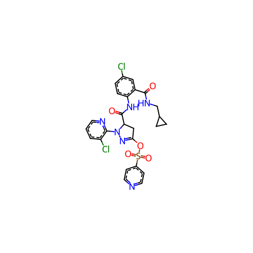 O=C(NCC1CC1)c1cc(Cl)ccc1NC(=O)C1CC(OS(=O)(=O)c2ccncc2)=NN1c1ncccc1Cl